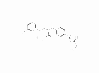 CCCCCCCCCCCc1noc(-c2ccc(C(CC)N(CCc3cccc(Cl)c3)C(=O)C(=O)O)cc2)n1